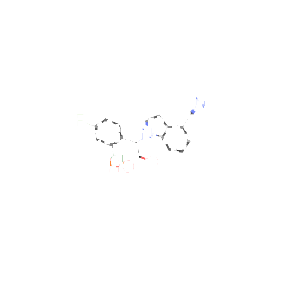 N#Cc1cccc2c1ccn2C(C(=O)O)c1ccc(F)cc1Cl